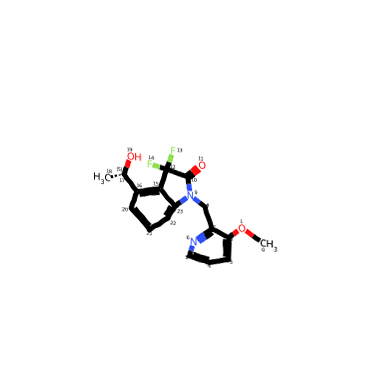 COc1cccnc1CN1C(=O)C(F)(F)c2c([C@H](C)O)cccc21